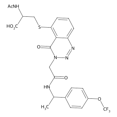 CC(=O)NC(CSc1cccc2nnn(CC(=O)NC(C)c3ccc(OC(F)(F)F)cc3)c(=O)c12)C(=O)O